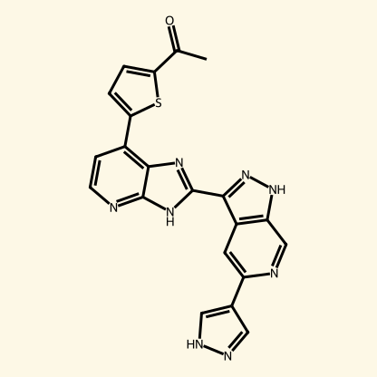 CC(=O)c1ccc(-c2ccnc3[nH]c(-c4n[nH]c5cnc(-c6cn[nH]c6)cc45)nc23)s1